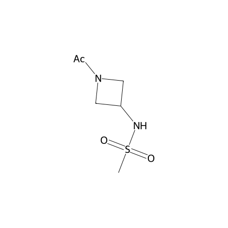 CC(=O)N1CC(NS(C)(=O)=O)C1